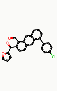 O=[C]c1c(C(=O)c2ccco2)ccc2cc3c(-c4ccc(Cl)cc4)cccc3cc12